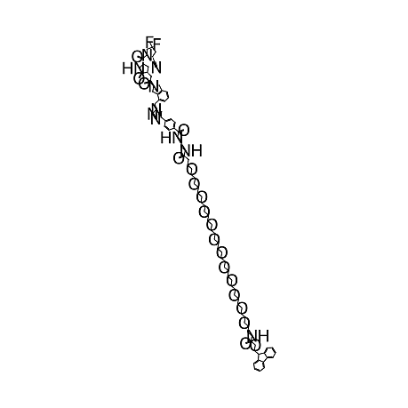 N#C[C@@H]1CC(F)(F)CN1C(=O)[C@@H]1C[C@@H](CC(=O)N2Cc3cccc(Cn4cc(-c5ccc(C(=O)NCCNC(=O)CCOCCOCCOCCOCCOCCOCCOCCOCCOCCOCCOCCOCCNC(=O)OCC6c7ccccc7-c7ccccc76)cc5)nn4)c3C2)C(=O)N1